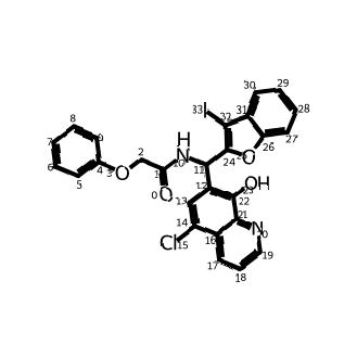 O=C(COc1ccccc1)NC(c1cc(Cl)c2cccnc2c1O)c1oc2ccccc2c1I